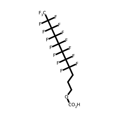 O=C(O)OCCCC(F)(F)C(F)(F)C(F)(F)C(F)(F)C(F)(F)C(F)(F)C(F)(F)C(F)(F)F